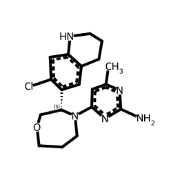 Cc1cc(N2CCCOC[C@@H]2c2cc3c(cc2Cl)NCCC3)nc(N)n1